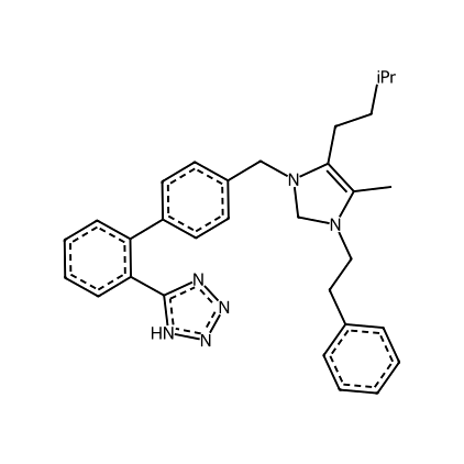 CC1=C(CCC(C)C)N(Cc2ccc(-c3ccccc3-c3nnn[nH]3)cc2)CN1CCc1ccccc1